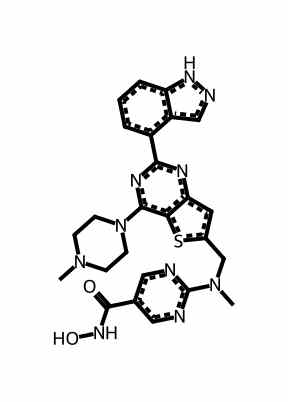 CN1CCN(c2nc(-c3cccc4[nH]ncc34)nc3cc(CN(C)c4ncc(C(=O)NO)cn4)sc23)CC1